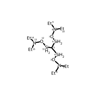 CCN(CC)O[SiH2]C([SiH2]ON(CC)CC)[SiH2]ON(CC)CC